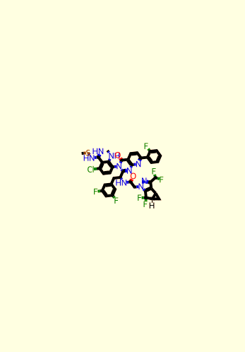 CNc1c(-n2c(C(Cc3cc(F)cc(F)c3)NC(=O)Cn3nc(C(F)F)c4c3C(F)(F)[C@@H]3CC43)nc3nc(-c4ccccc4F)ccc3c2=O)ccc(Cl)c1C(=N)NSC